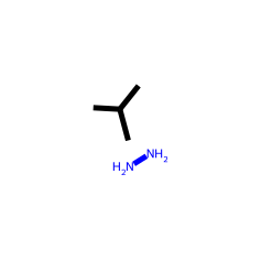 CC(C)C.NN